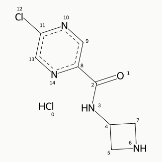 Cl.O=C(NC1CNC1)c1cnc(Cl)cn1